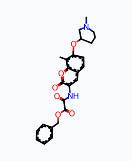 Cc1c(OC2CCCN(C)C2)ccc2cc(NC(=O)C(=O)OCc3ccccc3)c(=O)oc12